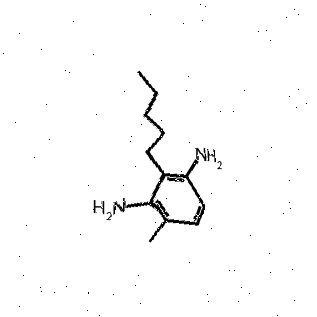 CCCCCc1c(N)ccc(C)c1N